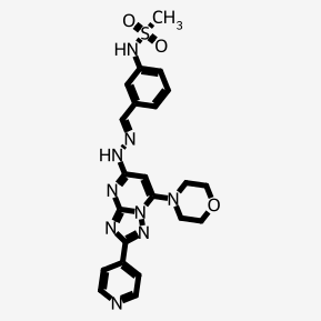 CS(=O)(=O)Nc1cccc(/C=N/Nc2cc(N3CCOCC3)n3nc(-c4ccncc4)nc3n2)c1